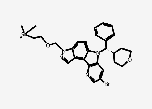 C[Si](C)(C)CCOCn1ncc2c3c4ncc(Br)cc4n([C@H](c4ccccc4)C4CCOCC4)c3ccc21